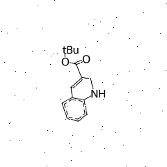 CC(C)(C)OC(=O)C1=Cc2ccccc2NC1